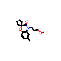 CCC1(CC)Oc2ccc(C)cc2N(CCCOC)C1=O